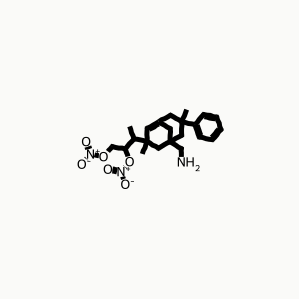 CC(C(CO[N+](=O)[O-])O[N+](=O)[O-])C1(C)C=C2CC(CN)(CC(C)(c3ccccc3)C2)C1